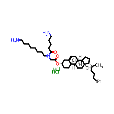 CC(C)CCCC(C)[C@H]1CC[C@H]2[C@@H]3CC=C4C[C@@H](OC(=O)CN(CCCCCCCCN)C(=O)CCCCN)CC[C@]4(C)[C@H]3CC[C@]12C.Cl.Cl